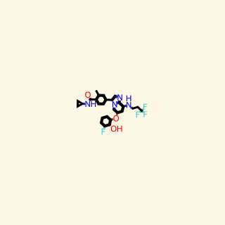 Cc1cc(-c2cnc3c(NCCC(F)(F)F)cc(Oc4cccc(F)c4O)cn23)ccc1C(=O)NC1CC1